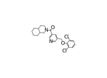 O=C(c1cncc(COc2c(Cl)cccc2Cl)c1)N1CCC2CCCCC2C1